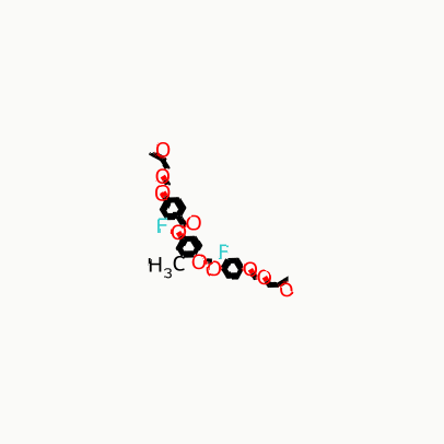 Cc1cc(OC(=O)c2ccc(OCOCC3CO3)cc2F)ccc1OCOc1ccc(OCOCC2CO2)cc1F